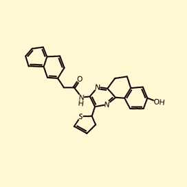 O=C(Cc1ccc2ccccc2c1)Nc1nc2c(nc1C1CC=CS1)-c1ccc(O)cc1CC2